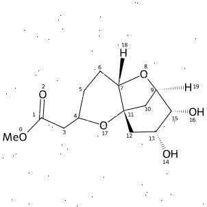 COC(=O)CC1CC[C@@H]2O[C@@H]3C[C@]2(C[C@@H](O)[C@H]3O)O1